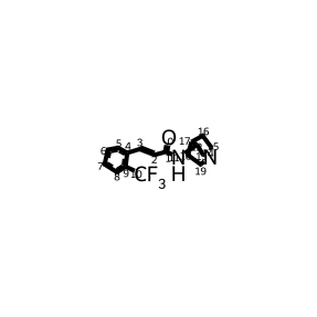 O=C(/C=C/c1ccccc1C(F)(F)F)NC1CN2CCC1CC2